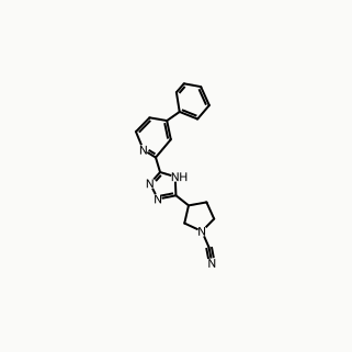 N#CN1CCC(c2nnc(-c3cc(-c4ccccc4)ccn3)[nH]2)C1